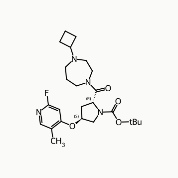 Cc1cnc(F)cc1O[C@H]1C[C@H](C(=O)N2CCCN(C3CCC3)CC2)N(C(=O)OC(C)(C)C)C1